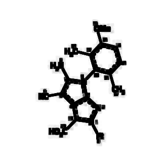 CCn1nc2c(c(C#N)c(N)n2-c2c(C)ccc(OC)c2C)c1C(=O)O